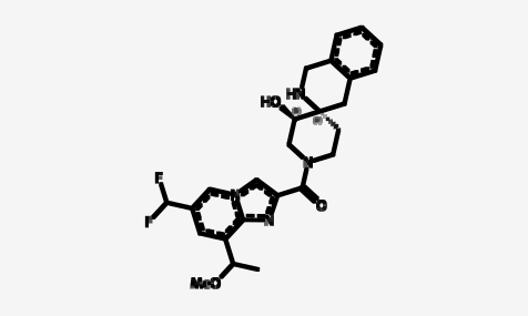 COC(C)c1cc(C(F)F)cn2cc(C(=O)N3CC[C@]4(Cc5ccccc5CN4)[C@H](O)C3)nc12